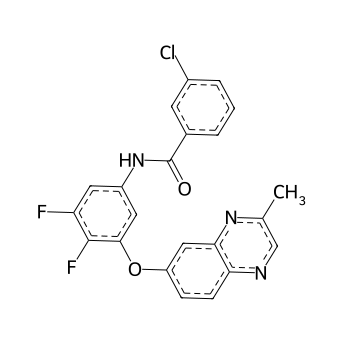 Cc1cnc2ccc(Oc3cc(NC(=O)c4cccc(Cl)c4)cc(F)c3F)cc2n1